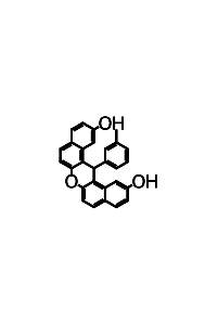 Cc1cccc(C2c3c(ccc4ccc(O)cc34)Oc3ccc4ccc(O)cc4c32)c1